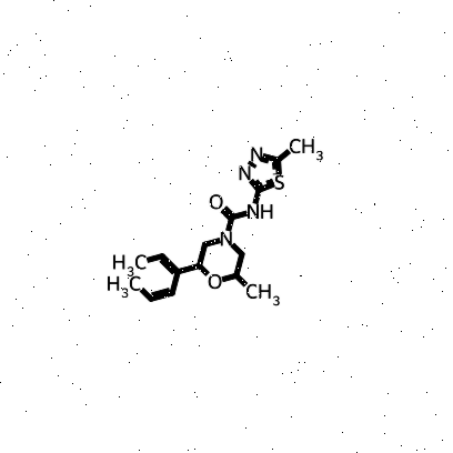 C/C=C\C(=C/C)C1CN(C(=O)Nc2nnc(C)s2)CC(C)O1